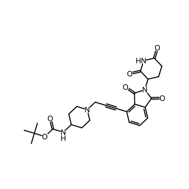 CC(C)(C)OC(=O)NC1CCN(CC#Cc2cccc3c2C(=O)N(C2CCC(=O)NC2=O)C3=O)CC1